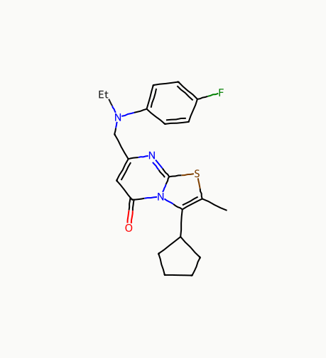 CCN(Cc1cc(=O)n2c(C3CCCC3)c(C)sc2n1)c1ccc(F)cc1